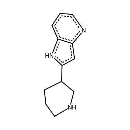 c1cnc2cc(C3CCCNC3)[nH]c2c1